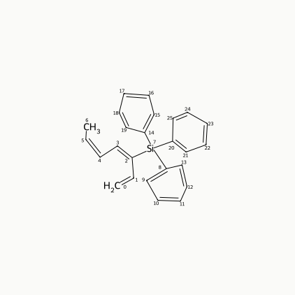 C=C/C(=C\C=C/C)[Si](c1ccccc1)(c1ccccc1)c1ccccc1